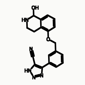 N#Cc1[nH]nnc1-c1cccc(COc2cccc3c2CCNC3O)c1